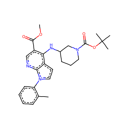 COC(=O)c1cnc2c(ccn2-c2ccccc2C)c1NC1CCCN(C(=O)OC(C)(C)C)C1